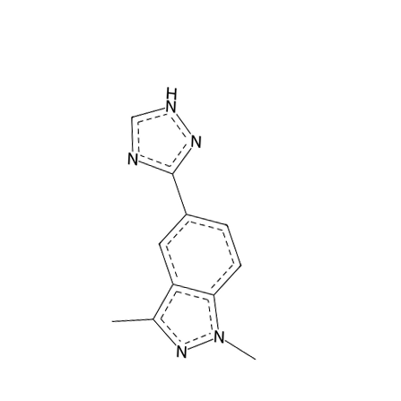 Cc1nn(C)c2ccc(-c3nc[nH]n3)cc12